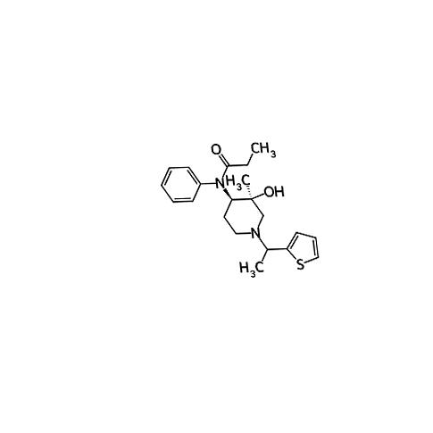 CCC(=O)N(c1ccccc1)[C@@H]1CCN(C(C)c2cccs2)C[C@]1(C)O